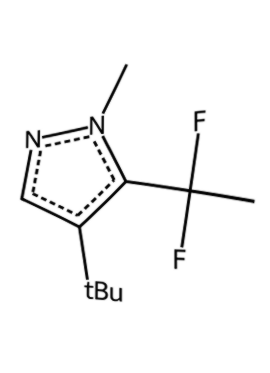 Cn1ncc(C(C)(C)C)c1C(C)(F)F